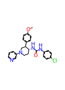 COc1ccc(C2CN(c3cccnc3)CC[C@H]2NC(=O)Nc2ccc(Cl)cc2)cc1